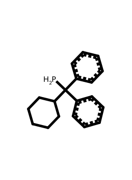 PC(c1ccccc1)(c1ccccc1)C1CCCCC1